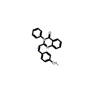 Cc1ccc(/C=C\c2nc3ccccc3c(=O)n2-c2ccccc2)cc1